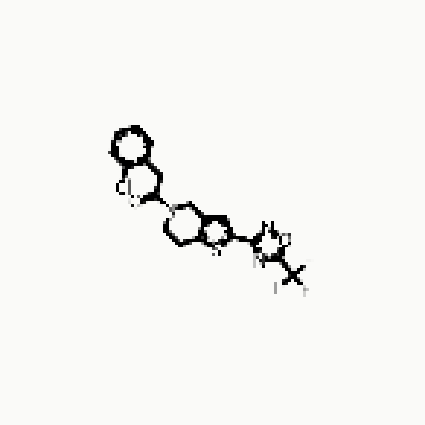 O=C(Cc1ccccc1Cl)N1CCc2sc(-c3noc(C(F)(F)F)n3)cc2C1